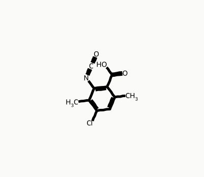 Cc1cc(Cl)c(C)c(N=C=O)c1C(=O)O